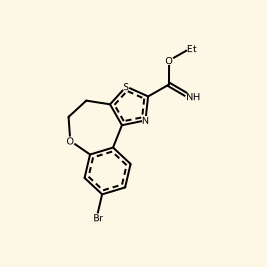 CCOC(=N)c1nc2c(s1)CCOc1cc(Br)ccc1-2